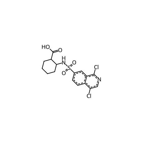 O=C(O)C1CCCCC1NS(=O)(=O)c1ccc2c(Cl)cnc(Cl)c2c1